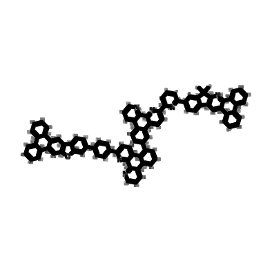 CC1(C)c2cc(-c3cccc(-c4ccc5c6cc(-c7cccc8c9cccnc9c9nc(-c%10ccc(-c%11ccc%12c(c%11)oc%11cc%13c%14ccccc%14c%14ccccc%14c%13cc%11%12)cc%10)ccc9c78)ccc6c6cccnc6c5n4)n3)ccc2-c2cc3c4ccccc4c4ccccc4c3nc21